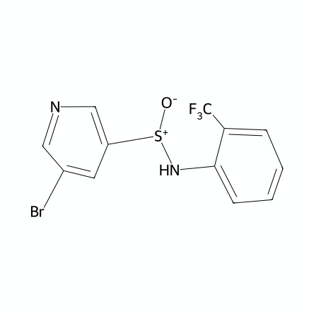 [O-][S+](Nc1ccccc1C(F)(F)F)c1cncc(Br)c1